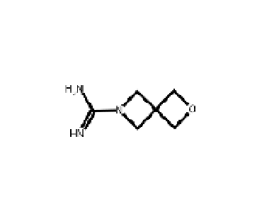 N=C(N)N1CC2(COC2)C1